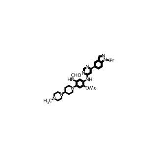 COc1cc(N2CCC(N3CCN(C)CC3)CC2)c(NC=O)cc1Nc1cc(-c2ccc3c(cnn3C(C)C)c2)ncn1